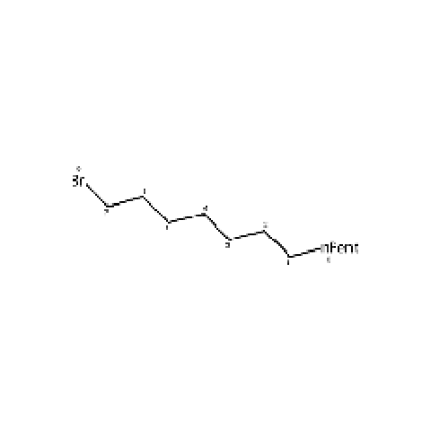 CCCCCCCCCCC[CH]Br